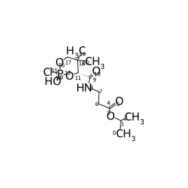 CC(C)OC(=O)CCNC(=O)[C@@H]1O[P](O)(Cl)OCC1(C)C